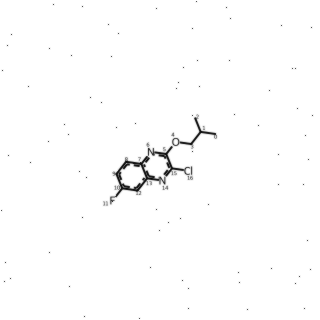 CC(C)COc1nc2ccc(F)cc2nc1Cl